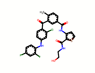 Cc1ccc(C(=O)Nc2ccsc2C(=O)NCCO)cc1C(=O)c1ccc(Nc2ccc(F)cc2F)cc1Cl